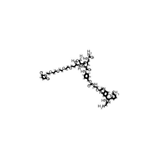 Cc1cccc(-c2nc(CN)[nH]c2-c2ccc3ncc(OCCNC(=O)OCc4ccc(NC(=O)[C@H](CCCNC(N)=O)NC(=O)C(NC(=O)CCOCCOCCOCCOCCN5C(=O)C=CC5=O)C(C)C)cc4)nc3c2)n1